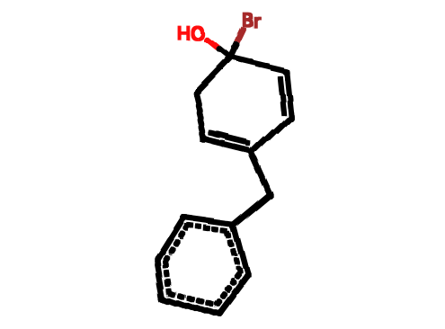 OC1(Br)C=CC(Cc2ccccc2)=CC1